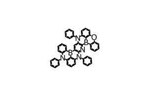 c1ccc(N2c3cc4c(nc3B3c5ccccc5Oc5cccc2c53)N(c2ccccc2)c2cccc3c2B4c2ccccc2N3c2ccccc2)cc1